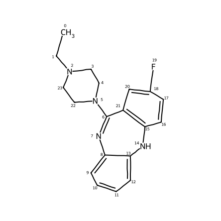 CCN1CCN(C2=Nc3ccccc3Nc3ccc(F)cc32)CC1